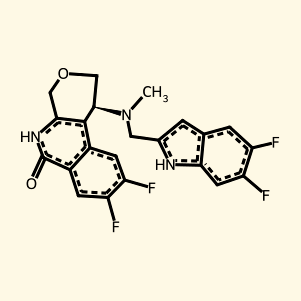 CN(Cc1cc2cc(F)c(F)cc2[nH]1)[C@@H]1COCc2[nH]c(=O)c3cc(F)c(F)cc3c21